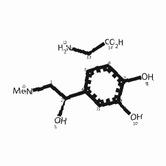 CNC[C@H](O)c1ccc(O)c(O)c1.NCC(=O)O